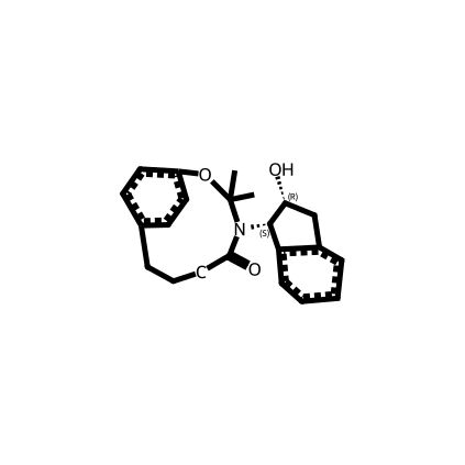 CC1(C)Oc2ccc(cc2)CCCC(=O)N1[C@H]1c2ccccc2C[C@H]1O